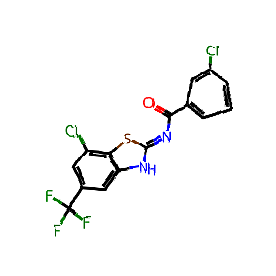 O=C(/N=c1/[nH]c2cc(C(F)(F)F)cc(Cl)c2s1)c1cccc(Cl)c1